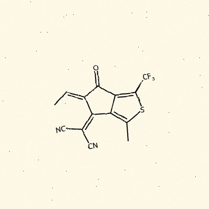 C/C=C1/C(=O)c2c(C(F)(F)F)sc(C)c2C1=C(C#N)C#N